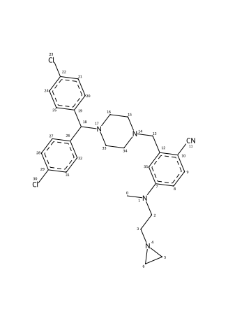 CN(CCN1CC1)c1ccc(C#N)c(CN2CCN(C(c3ccc(Cl)cc3)c3ccc(Cl)cc3)CC2)c1